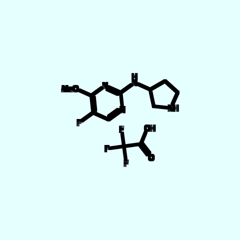 COc1nc(NC2CCNC2)ncc1F.O=C(O)C(F)(F)F